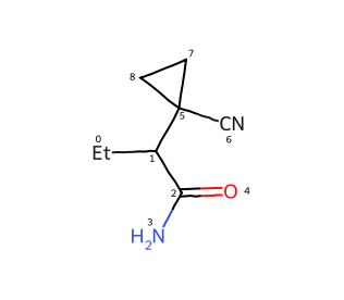 CCC(C(N)=O)C1(C#N)CC1